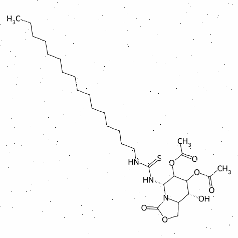 CCCCCCCCCCCCCCCCNC(=S)N[C@@H]1C(OC(C)=O)C(OC(C)=O)[C@H](O)C2COC(=O)N21